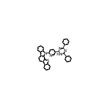 c1ccc(C2=NC(c3ccc(-n4c5ccccc5c5ccc6c7ccccc7sc6c54)nc3)NC(c3ccccc3)=N2)cc1